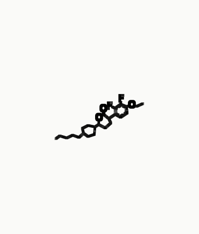 CCCCCC1CCC(C2CCC(c3ccc(OCC)c(F)c3F)C(=O)O2)CC1